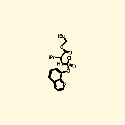 CC(C)[C@H](NP(=O)(Cl)Oc1cccc2cccnc12)C(=O)OCC(C)(C)C